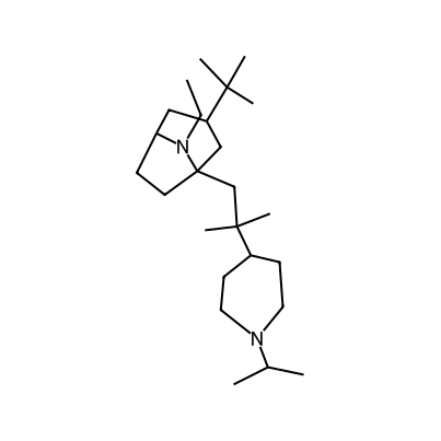 CCN1C2CCC1(CC(C)(C)C1CCN(C(C)C)CC1)CC(C(C)(C)C)C2